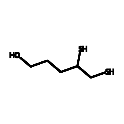 OCCCC(S)CS